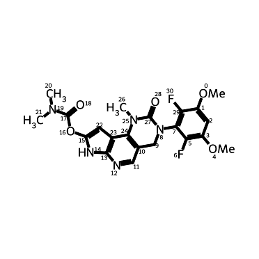 COc1cc(OC)c(F)c(N2Cc3cnc4[nH]c(OC(=O)N(C)C)cc4c3N(C)C2=O)c1F